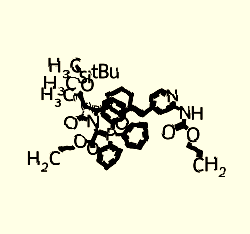 C=CCOC(=O)Nc1cc(C=C2CCC[C@H]([C@@H]3[C@@H]([C@@H](C)O[Si](C)(C)C(C)(C)C)C(=O)N3C(C(=O)OCC=C)=P(c3ccccc3)(c3ccccc3)c3ccccc3)C2=O)ccn1